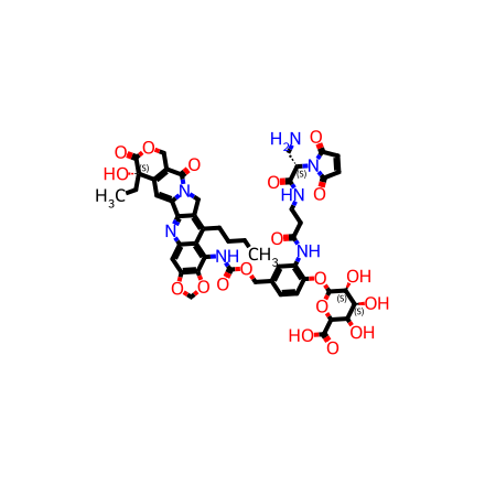 CCCCc1c2c(nc3cc4c(c(NC(=O)OCc5ccc(OC6OC(C(=O)O)C(O)[C@H](O)[C@@H]6O)c(NC(=O)CCNC(=O)[C@H](CN)N6C(=O)C=CC6=O)c5)c13)OCO4)-c1cc3c(c(=O)n1C2)COC(=O)[C@]3(O)CC